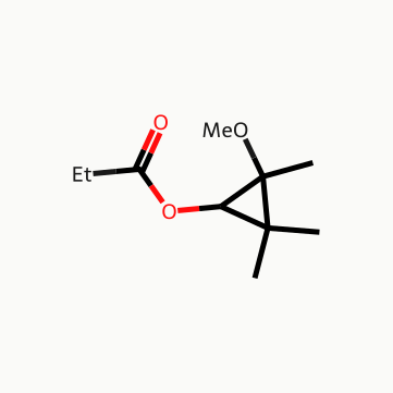 CCC(=O)OC1C(C)(C)C1(C)OC